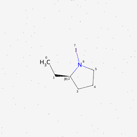 CC[C@@H]1CCCN1I